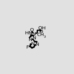 CC(CC(=O)O)n1c(=O)[nH]c2cnc(-c3cnc4ccc(F)cn34)nc21